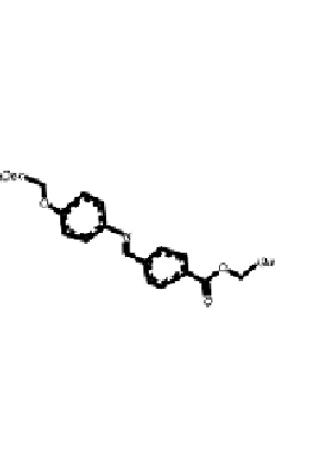 CCCCCCCCCCCOc1ccc(N=Cc2ccc(C(=O)OCC(C)CC)cc2)cc1